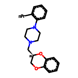 CCCc1ccccc1N1CCN(C[C@H]2COc3ccccc3O2)CC1